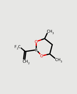 C=C(B1OC(C)CC(C)O1)C(F)(F)F